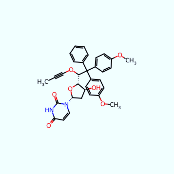 CC#COC([C@H]1O[C@@H](n2ccc(=O)[nH]c2=O)C[C@@H]1O)C(c1ccccc1)(c1ccc(OC)cc1)c1ccc(OC)cc1